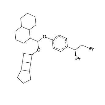 CC(C)C[C@H](c1ccc(OC(OC2CC3C4CCCC4C23)C2CCCC3CCCCC32)cc1)C(C)C